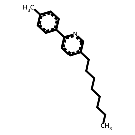 CCCCCCCCc1ccc(-c2ccc(C)cc2)nc1